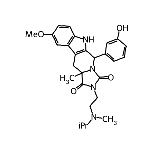 COc1ccc2[nH]c3c(c2c1)CC1(C)C(=O)N(CCN(C)C(C)C)C(=O)N1C3c1cccc(O)c1